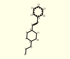 CCCC1CCC(C=Cc2ccccc2)CC1